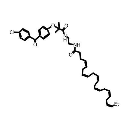 CC/C=C\C/C=C\C/C=C\C/C=C\C/C=C\C/C=C\CCC(=O)NCCNC(=O)C(C)(C)Oc1ccc(C(=O)c2ccc(Cl)cc2)cc1